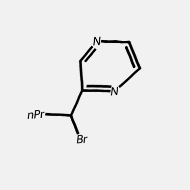 CCCC(Br)c1cnccn1